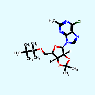 Cc1nc(Cl)c2ncn([C@@H]3O[C@H](CO[Si](C)(C)C(C)(C)C)[C@H]4OC(C)(C)O[C@H]43)c2n1